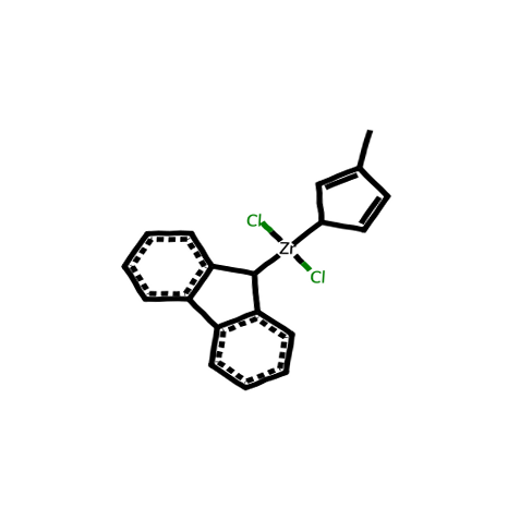 CC1=C[CH]([Zr]([Cl])([Cl])[CH]2c3ccccc3-c3ccccc32)C=C1